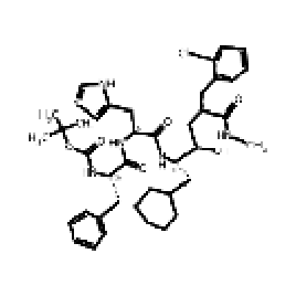 CNC(=O)C(Cc1ccccc1Cl)CC(O)[C@H](CC1CCCCC1)NC(=O)[C@H](Cc1cnc[nH]1)NC(=O)[C@H](Cc1ccccc1)NC(=O)OC(C)(C)C